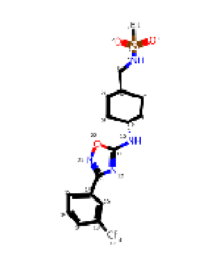 CCS(=O)(=O)NC[C@H]1CC[C@H](Nc2nc(-c3cccc(C(F)(F)F)c3)no2)CC1